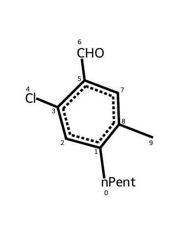 CCCCCc1cc(Cl)c(C=O)cc1C